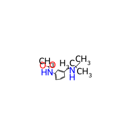 CCC(C)(C)NCc1cccc(NC(=O)OC)c1